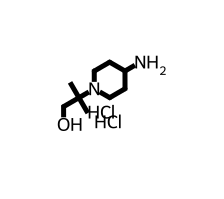 CC(C)(CO)N1CCC(N)CC1.Cl.Cl